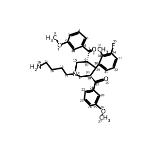 COc1cccc(C(=O)[C@H]2CN(CCCCN)C[C@H](C(=O)c3cccc(OC)c3)C2c2cccc(F)c2C)c1